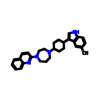 N#Cc1ccc2[nH]cc(C3CCC(N4CCCN(c5ccc6ccccc6n5)CC4)CC3)c2c1